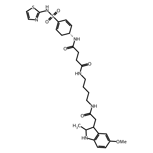 COc1ccc2c(c1)C(CC(=O)NCCCCNC(=O)CCC(=O)N[C@H]1C=CC(S(=O)(=O)Nc3nccs3)=CC1)C(C)N2